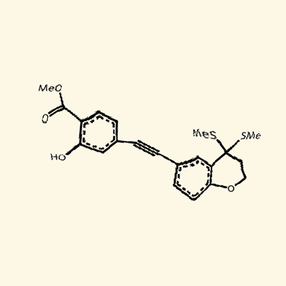 COC(=O)c1ccc(C#Cc2ccc3c(c2)C(SC)(SC)CCO3)cc1O